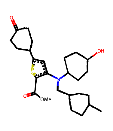 COC(=O)c1sc(C2CCC(=O)CC2)cc1N(CC1CCC(C)CC1)C1CCC(O)CC1